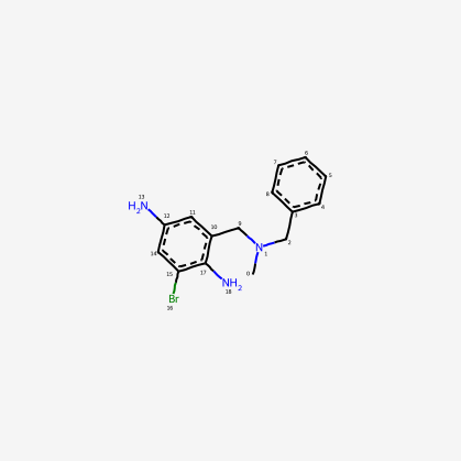 CN(Cc1ccccc1)Cc1cc(N)cc(Br)c1N